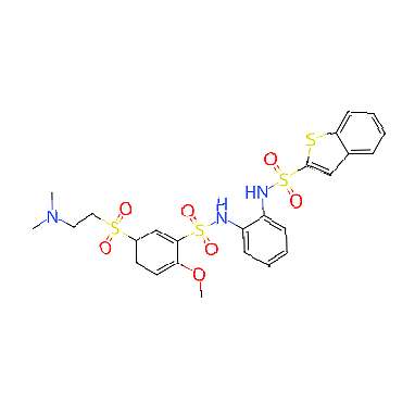 COC1=CCC(S(=O)(=O)CCN(C)C)C=C1S(=O)(=O)Nc1ccccc1NS(=O)(=O)c1cc2ccccc2s1